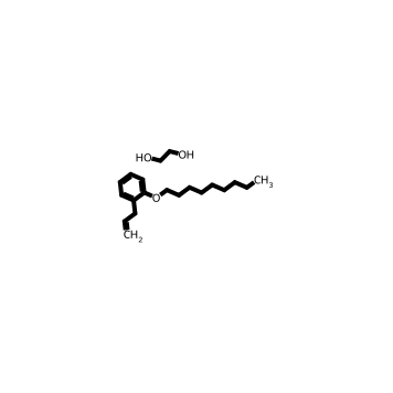 C=CCc1ccccc1OCCCCCCCCC.OCCO